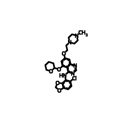 CN1CCN(CCOc2cc(OC3CCCCO3)c3c(Nc4c(Cl)ccc5c4OCO5)ncnc3c2)CC1